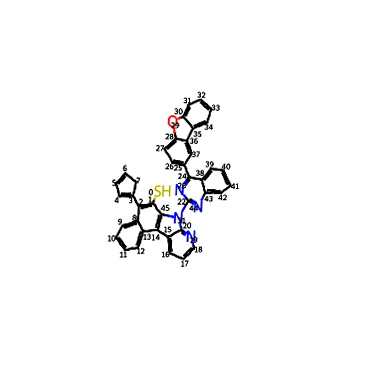 Sc1c(C2=CC=CC2)c2ccccc2c2c3cccnc3n(-c3nc(-c4ccc5oc6ccccc6c5c4)c4ccccc4n3)c12